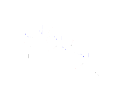 Cc1cc(NS(=O)(=O)NC(=O)N2C[C@H](NC(=O)CC#N)C2=O)no1